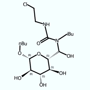 CCCCO[C@@H]1O[C@H](C(O)N(C(=O)NCCCl)C(C)CC)[C@@H](O)[C@H](O)[C@H]1O